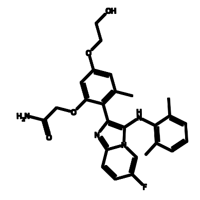 Cc1cccc(C)c1Nc1c(-c2c(C)cc(OCCO)cc2OCC(N)=O)nc2ccc(F)cn12